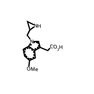 COc1ccc2c(c1)c(CC(=O)O)cn2CC1CN1